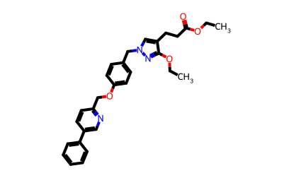 CCOC(=O)CCc1cn(Cc2ccc(OCc3ccc(-c4ccccc4)cn3)cc2)nc1OCC